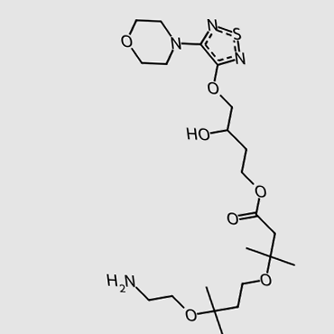 CC(C)(CCOC(C)(C)CC(=O)OCCC(O)COc1nsnc1N1CCOCC1)OCCN